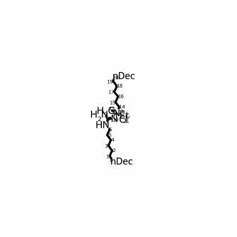 CCCCCCCCCCCCCCCCNC(N)=N[N+](C)(CC)CCCCCCCCCCCCCCCC.[Cl-]